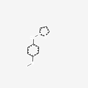 CSc1ccc(Nn2cccn2)cc1